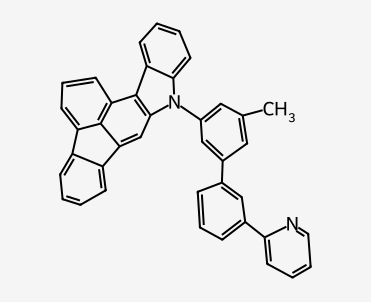 Cc1cc(-c2cccc(-c3ccccn3)c2)cc(-n2c3ccccc3c3c4cccc5c4c(cc32)-c2ccccc2-5)c1